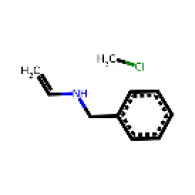 C=CNCc1ccccc1.CCl